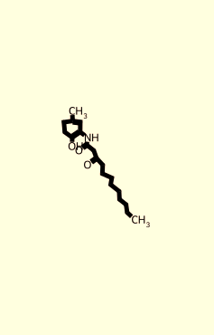 CCCCCCCCCC(=O)CC(=O)NC1=C(O)CCC(C)=C1